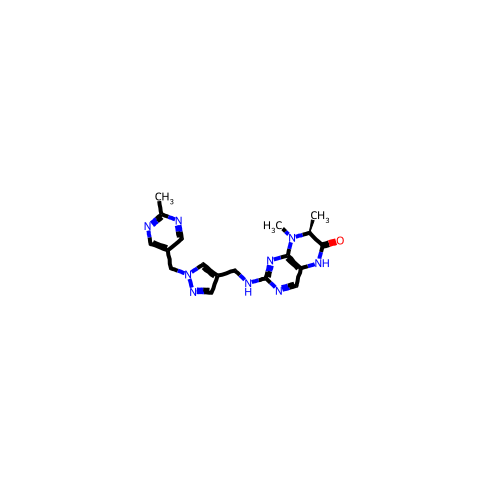 Cc1ncc(Cn2cc(CNc3ncc4c(n3)N(C)[C@@H](C)C(=O)N4)cn2)cn1